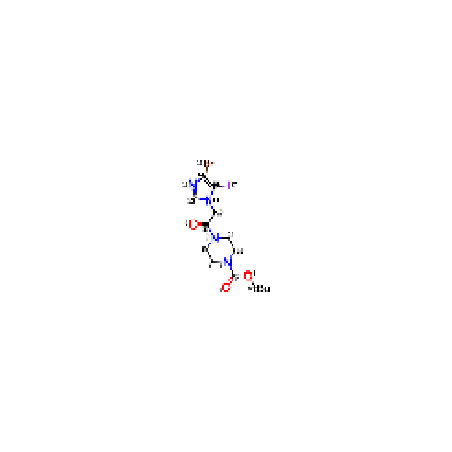 CC(C)(C)OC(=O)N1CCN(C(=O)Cn2cnc(Br)c2I)CC1